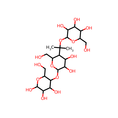 CC(C)(OC1OC(CO)C(O)C(O)C1O)C1C(CO)OC(OC2C(CO)OC(O)C(O)C2O)C(O)C1O